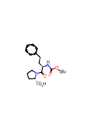 CC(C)(C)OC(=O)N[C@H](CCc1ccccc1)C(=O)N1CCC[C@H]1C(=O)O